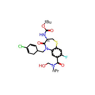 CCCN(CO)C(=O)c1cc2c(cc1F)SC[C@H](NC(=O)OC(C)(C)C)C(=O)N2CC1C=CC(Cl)=CC1